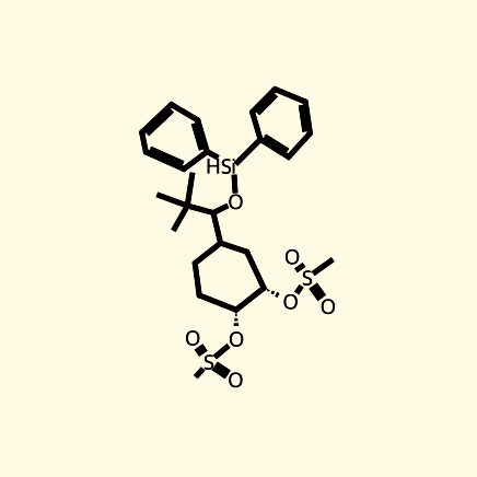 CC(C)(C)C(O[SiH](c1ccccc1)c1ccccc1)C1CC[C@@H](OS(C)(=O)=O)[C@@H](OS(C)(=O)=O)C1